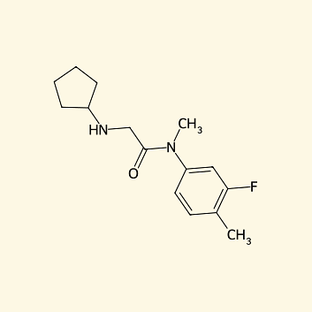 Cc1ccc(N(C)C(=O)CNC2CCCC2)cc1F